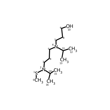 CSN(CCCN(CCCO)C(C)C)C(C)C